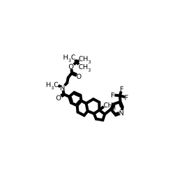 CN(CCC(=O)OC(C)(C)C)C(=O)c1ccc2c(c1)CCC1C2CCC2(C)C(c3cncc(C(F)(F)F)c3)CCC12